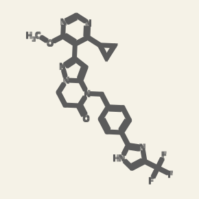 COc1ncnc(C2CC2)c1-c1cc2n(n1)CCC(=O)N2Cc1ccc(-c2nc(C(F)(F)F)c[nH]2)cc1